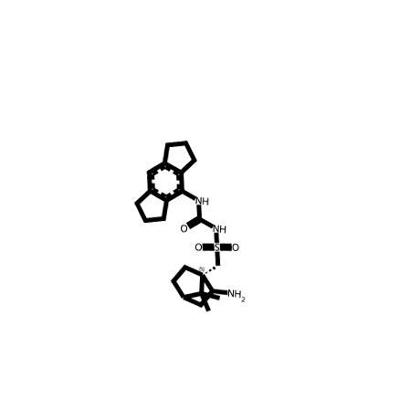 CC1(C)C2CC[C@@]1(CS(=O)(=O)NC(=O)Nc1c3c(cc4c1CCC4)CCC3)C(N)C2